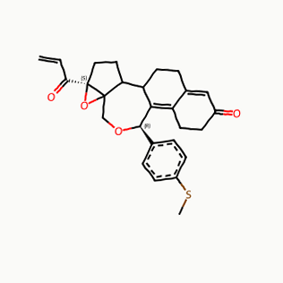 C=CC(=O)[C@]12CCC3C4CCC5=CC(=O)CCC5=C4[C@@H](c4ccc(SC)cc4)OCC31O2